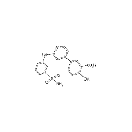 NS(=O)(=O)c1cccc(Nc2cc(-c3ccc(O)c(C(=O)O)c3)ccn2)c1